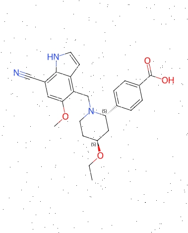 CCO[C@H]1CCN(Cc2c(OC)cc(C#N)c3[nH]ccc23)[C@H](c2ccc(C(=O)O)cc2)C1